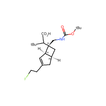 CC(C)(C)OC(=O)NC[C@@]1(C(C(=O)O)C(C)(C)C)C[C@H]2CC(CCF)=C[C@H]21